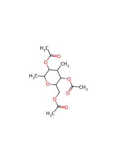 CC(=O)OCC1OC(C)C(OC(C)=O)C(C)C1OC(C)=O